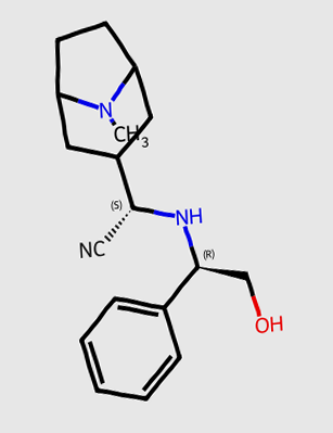 CN1C2CCC1CC([C@@H](C#N)N[C@@H](CO)c1ccccc1)C2